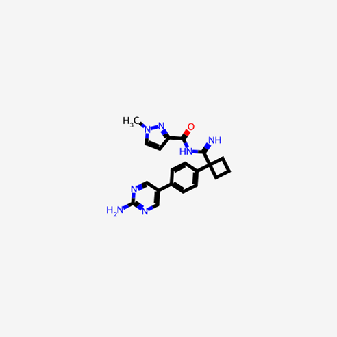 Cn1ccc(C(=O)NC(=N)C2(c3ccc(-c4cnc(N)nc4)cc3)CCC2)n1